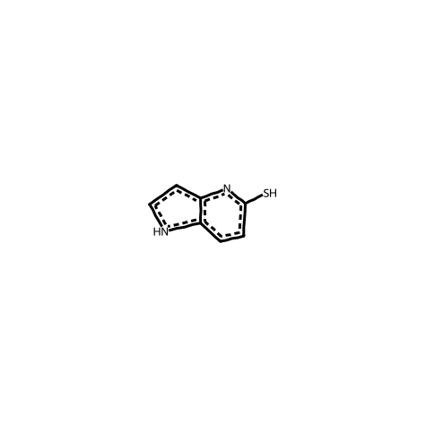 Sc1ccc2[nH]ccc2n1